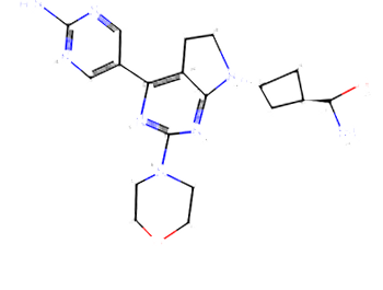 Nc1ncc(-c2nc(N3CCOCC3)nc3c2CCN3[C@H]2C[C@H](C(N)O)C2)cn1